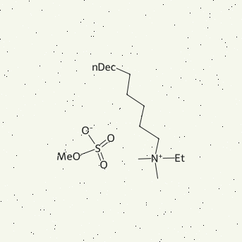 CCCCCCCCCCCCCCC[N+](C)(C)CC.COS(=O)(=O)[O-]